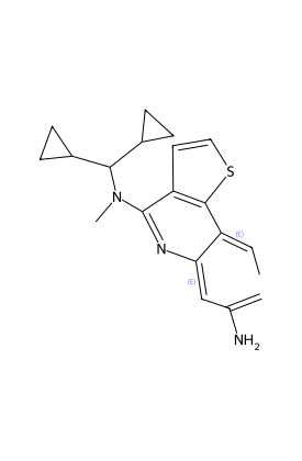 C=C(N)/C=c1/nc(N(C)C(C2CC2)C2CC2)c2ccsc2/c1=C/C